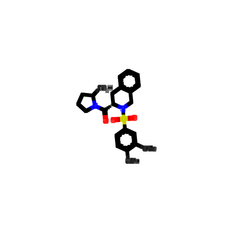 COc1ccc(S(=O)(=O)N2Cc3ccccc3C[C@H]2C(=O)N2CCCC2C(=O)O)cc1OC